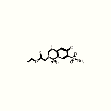 CCOC(=O)CN1CNc2cc(Cl)c(S(N)(=O)=O)cc2S1(=O)=O